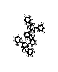 c1ccc(-c2cc(-c3cccc4oc5c(-c6nc(-c7ccccc7)nc(-c7ccccc7)n6)cccc5c34)c3c(c2)oc2ccccc23)cc1